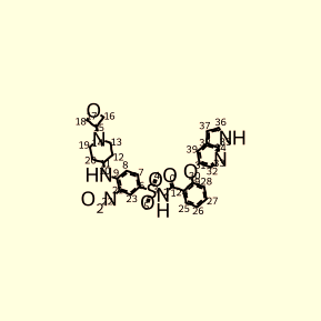 O=C(NS(=O)(=O)c1ccc(NC2CCN(C3COC3)CC2)c([N+](=O)[O-])c1)c1ccccc1Oc1cnc2[nH]ccc2c1